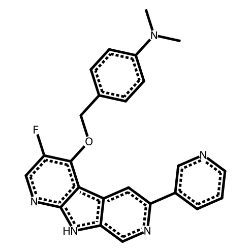 CN(C)c1ccc(COc2c(F)cnc3[nH]c4cnc(-c5cccnc5)cc4c23)cc1